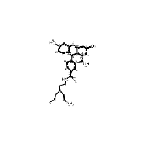 CCCC(CCN)CCNC(=O)c1ccc(-c2c3ccc(=O)cc-3oc3cc(O)ccc23)c(C(=O)O)c1